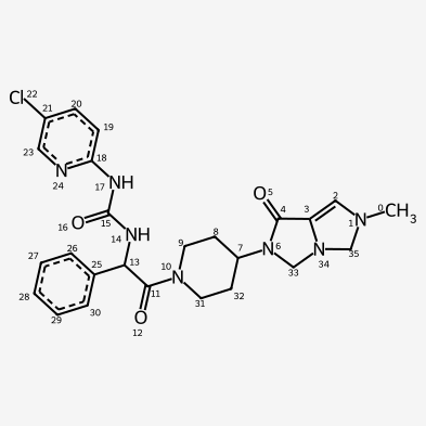 CN1C=C2C(=O)N(C3CCN(C(=O)C(NC(=O)Nc4ccc(Cl)cn4)c4ccccc4)CC3)CN2C1